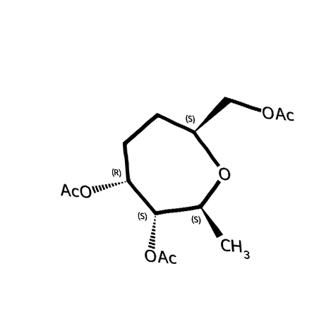 CC(=O)OC[C@@H]1CC[C@@H](OC(C)=O)[C@@H](OC(C)=O)[C@H](C)O1